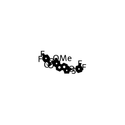 COc1cc2c(cc1OS(=O)(=O)c1ccc(F)c(F)c1)CCC1C2CCC2(C)C(OSc3ccc(F)c(F)c3)CCC12